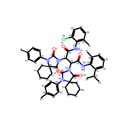 Cc1ccc(N2C(=O)N(C(C(=O)Nc3c(C)cccc3Cl)C(C(=O)Nc3c(C)cccc3C(C)C)N3C(=O)N(c4ccc(C)cc4)C4(CCCCC4)C3=O)C(=O)C23CCCCC3)cc1